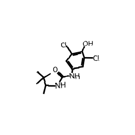 CC(NC(=O)Nc1cc(Cl)c(O)c(Cl)c1)C(C)(C)C